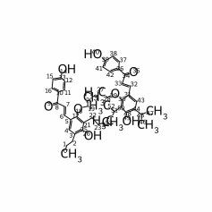 CCCc1cc(/C=C/C(=O)c2ccc(O)cc2)c(OCC)c(CCC)c1O.CCOc1c(/C=C/C(=O)c2ccc(O)cc2)cc(C(C)C)c(O)c1C(C)C